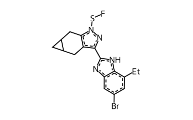 CCc1cc(Br)cc2nc(-c3nn(SF)c4c3CC3CC3C4)[nH]c12